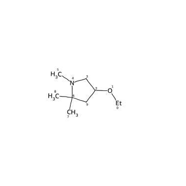 CCOC1CN(C)C(C)(C)C1